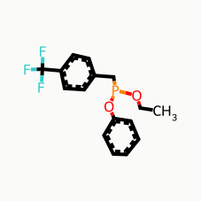 CCOP(Cc1ccc(C(F)(F)F)cc1)Oc1ccccc1